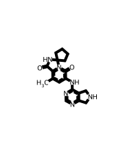 Cc1cc(Nc2ncnc3c2CNC3)c(=O)n2c1C(=O)NC21CCCC1